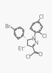 CC[C@H]1C(C(=O)Cl)=NN(c2ccc(Cl)cc2Cl)[C@H]1c1ccc(Br)cc1